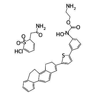 Cl.NC(=O)CC1C=CC=CS1(=O)=O.NCCOC(=O)N(O)c1cccc(-c2ccc(C3=Cc4ccc5c(c4CC3)CCc3ccccc3-5)s2)c1